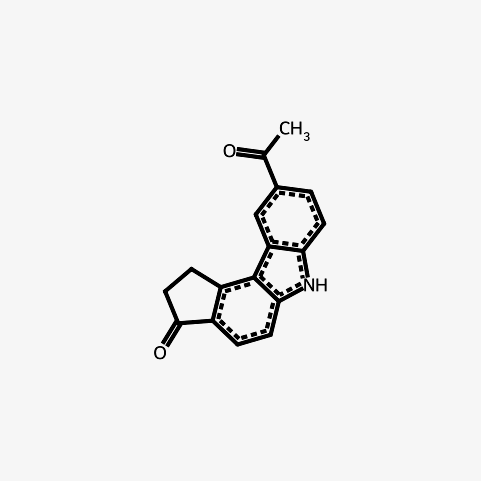 CC(=O)c1ccc2[nH]c3ccc4c(c3c2c1)CCC4=O